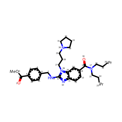 COC(=O)c1ccc(CNc2nc3ccc(C(=O)N(CCC(C)C)CCC(C)C)cc3n2CCCN2CCCC2)cc1